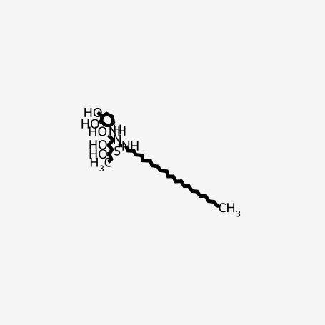 CCCCCCCCCCCCCCCCCCCCCCCCNC(=S)NC(CNC1CCCC(O)C(O)C1O)C(O)CC(O)CC